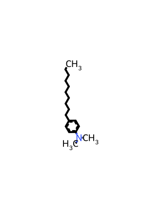 CCCCCCCCCCc1ccc(N(C)C)cc1